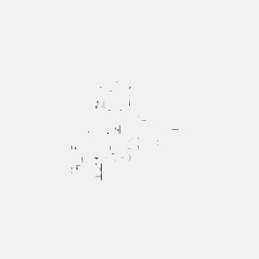 CCc1ccc2c(c1)c1cccnc1n2C1CCC(=O)NC1=O